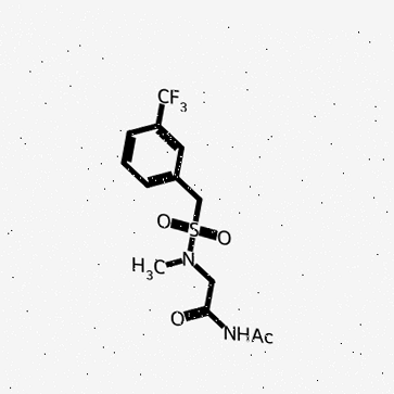 CC(=O)NC(=O)CN(C)S(=O)(=O)Cc1cccc(C(F)(F)F)c1